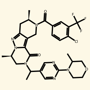 CC(c1cnc(N2CCOCC2C)nc1)N1C[C@@H](C)n2nc3c(c2C1=O)CN(C(=O)c1ccc(Cl)c(C(F)(F)F)c1)[C@H](C)C3